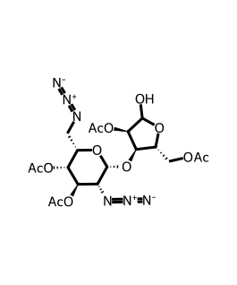 CC(=O)OC[C@H]1OC(O)[C@H](OC(C)=O)[C@@H]1O[C@H]1O[C@@H](CN=[N+]=[N-])[C@@H](OC(C)=O)[C@H](OC(C)=O)[C@H]1N=[N+]=[N-]